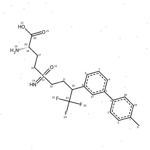 Cc1ccc(-c2cccc(C(CCS(=N)(=O)CC[C@H](N)C(=O)O)C(F)(F)F)c2)cc1